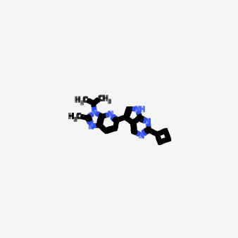 Cc1nc2ccc(-c3c[nH]c4nc(C5CCC5)ncc34)nc2n1C(C)C